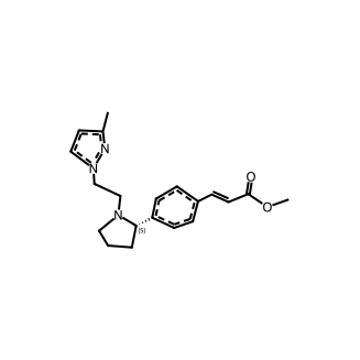 COC(=O)C=Cc1ccc([C@@H]2CCCN2CCn2ccc(C)n2)cc1